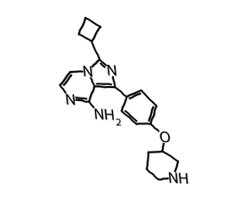 Nc1nccn2c(C3CCC3)nc(-c3ccc(OC4CCCNC4)cc3)c12